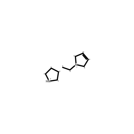 C1CCNC1.CCN1CC=CC1